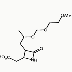 COCCOCOC(C)CC1C(=O)NC1CC(=O)O